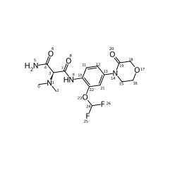 CN(C)[C@@H](C(N)=O)C(=O)Nc1ccc(N2CCOCC2=O)cc1OC(F)F